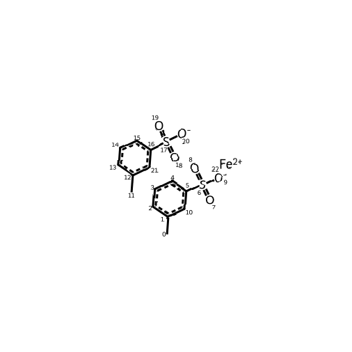 Cc1cccc(S(=O)(=O)[O-])c1.Cc1cccc(S(=O)(=O)[O-])c1.[Fe+2]